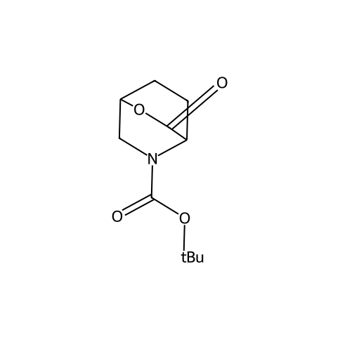 CC(C)(C)OC(=O)N1CC2CCC1C(=O)O2